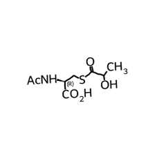 CC(=O)N[C@@H](CSC(=O)C(C)O)C(=O)O